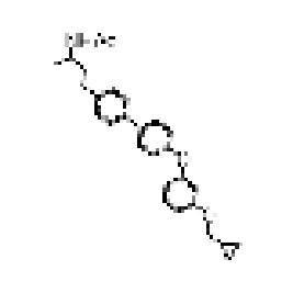 CC(=O)NC(C)CCc1ccc(-c2ccc(Oc3cccc(OCC4CC4)c3)cc2)cc1